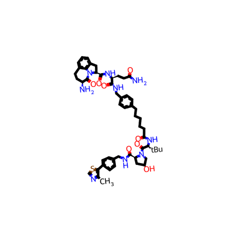 Cc1ncsc1-c1ccc(CNC(=O)[C@@H]2C[C@@H](O)CN2C(=O)[C@@H](NC(=O)CCCCCc2ccc(CNC(=O)[C@H](CCC(N)=O)NC(=O)[C@@H]3Cc4cccc5c4N3C(=O)[C@@H](N)CC5)cc2)C(C)(C)C)cc1